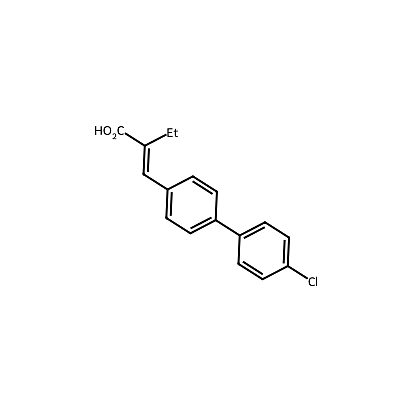 CC/C(=C\c1ccc(-c2ccc(Cl)cc2)cc1)C(=O)O